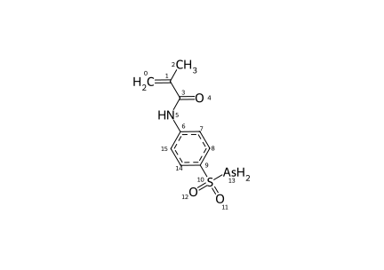 C=C(C)C(=O)Nc1ccc(S(=O)(=O)[AsH2])cc1